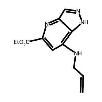 C=CCNc1cc(C(=O)OCC)nc2cn[nH]c12